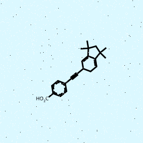 CC1(C)CC(C)(C)C2=CC(C#Cc3ccc(C(=O)O)cc3)CC=C21